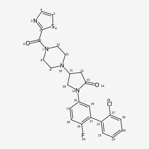 O=C(c1nccs1)N1CCN(C2CC(=O)N(c3ccc(F)c(-c4ccccc4Cl)c3)C2)CC1